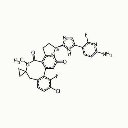 CN1C(=O)c2c(cc(=O)n3c2CC[C@H]3c2ncc(-c3ccc(N)nc3F)[nH]2)-c2c(ccc(Cl)c2F)CC12CC2